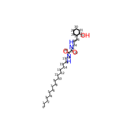 CCCCCCCCCCCCCCCCCCNC(=O)C(=O)NCCCc1ccccc1O